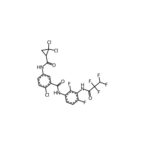 O=C(Nc1ccc(F)c(NC(=O)C(F)(F)C(F)F)c1F)c1cc(NC(=O)C2CC2(Cl)Cl)ccc1Cl